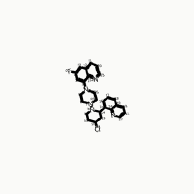 Fc1cc(N2CCN(N3CCC(Cl)CC3c3cccc4cccnc34)CC2)c2ncccc2c1